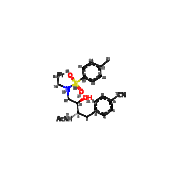 CC(=O)N[C@@H](Cc1ccc(C#N)cc1)[C@H](O)CN(CC(C)C)S(=O)(=O)c1ccc(C)cc1